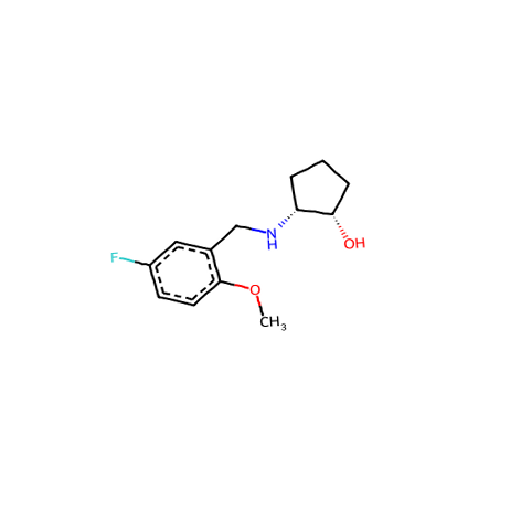 COc1ccc(F)cc1CN[C@@H]1CCC[C@@H]1O